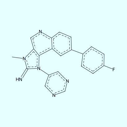 Cn1c(=N)n(-c2cncnc2)c2c3cc(-c4ccc(F)cc4)ccc3ncc21